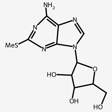 CSc1nc(N)c2ncn(C3OC(CO)C(O)C3O)c2n1